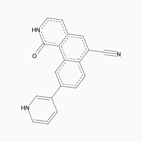 N#Cc1cc2cc[nH]c(=O)c2c2cc(C3=CNC=C=C3)ccc12